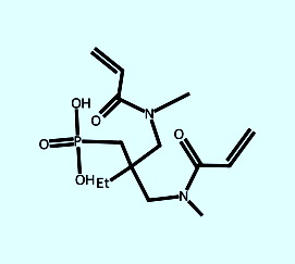 C=CC(=O)N(C)CC(CC)(CN(C)C(=O)C=C)CP(=O)(O)O